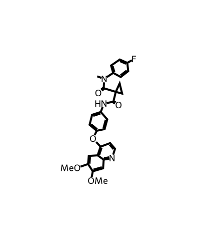 COc1cc2nccc(Oc3ccc(NC(=O)C4(C(=O)N(C)c5ccc(F)cc5)CC4)cc3)c2cc1OC